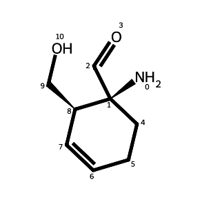 N[C@@]1([C]=O)CCC=C[C@H]1CO